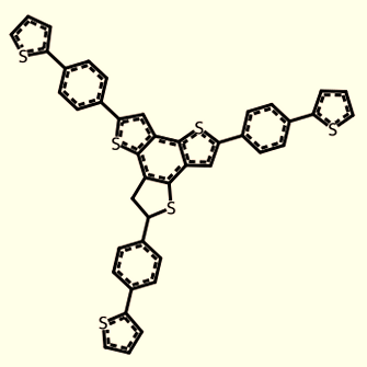 c1csc(-c2ccc(-c3cc4c(s3)c3c(c5cc(-c6ccc(-c7cccs7)cc6)sc54)SC(c4ccc(-c5cccs5)cc4)C3)cc2)c1